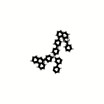 c1ccc(-c2cccc(N(c3ccc(-c4ccc(-c5cccc6ccc7oc(-c8ccccc8)nc7c56)cc4)cc3)c3ccc(-c4cc5ccccc5c5ccccc45)cc3)c2)cc1